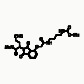 CNC(=O)C(CCC=O)N1C(=O)c2cccc(OCC(=O)NCCCCNC(=O)OC(C)(C)C)c2C1=O